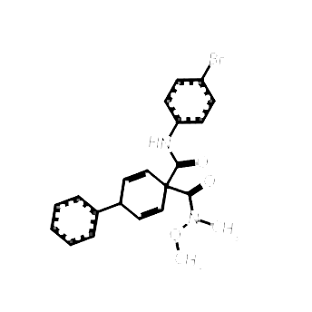 CON(C)C(=O)C1(C(=O)Nc2ccc(Br)cc2)C=CC(c2ccccc2)C=C1